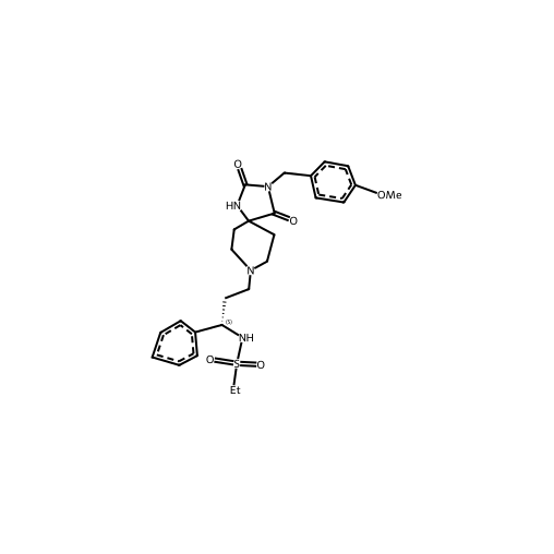 CCS(=O)(=O)N[C@@H](CCN1CCC2(CC1)NC(=O)N(Cc1ccc(OC)cc1)C2=O)c1ccccc1